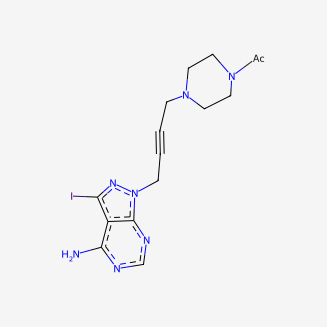 CC(=O)N1CCN(CC#CCn2nc(I)c3c(N)ncnc32)CC1